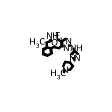 C[C@H](C(N)=O)c1ccccc1CCc1nc(Nc2cnn(C3CCN(C)CC3)c2)ncc1CF